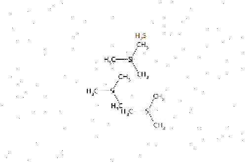 C[Si](C)C.C[Si](C)C.C[Si](C)C.S